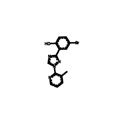 Cc1cccnc1-n1cnc(-c2cc(Br)ccc2O)n1